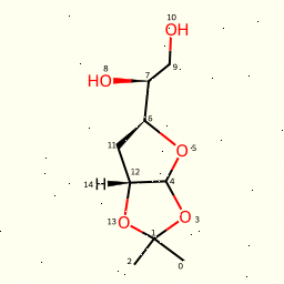 CC1(C)OC2O[C@H]([C@@H](O)CO)C[C@H]2O1